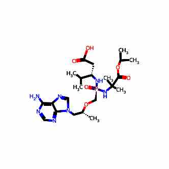 CC(C)OC(=O)C(C)(C)N[P@@](=O)(CO[C@H](C)Cn1cnc2c(N)ncnc21)N[C@@H](CC(=O)O)C(C)C